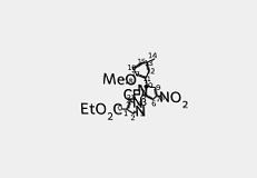 CCOC(=O)c1cnn(-c2cc([N+](=O)[O-])cc(-c3cc(C)ccc3OC)n2)c1C(F)(F)F